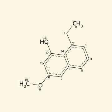 CCc1cccc2cc(OC)cc(O)c12